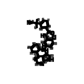 CC(C)(C#N)c1cccc(C(=O)Nc2cc(Nc3ncccc3-c3ncnc4c3NCN4)ccc2Cl)c1